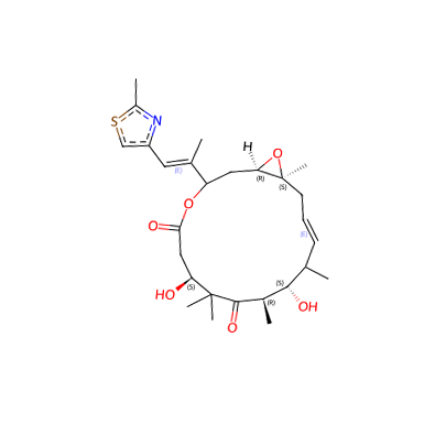 C/C(=C\c1csc(C)n1)C1C[C@H]2O[C@@]2(C)C/C=C/C(C)[C@H](O)[C@@H](C)C(=O)C(C)(C)[C@@H](O)CC(=O)O1